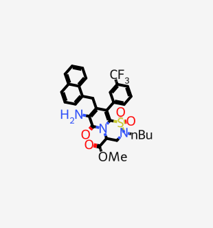 CCCCN1CC(C(=O)OC)n2c(c(-c3cccc(C(F)(F)F)c3)c(Cc3cccc4ccccc34)c(N)c2=O)S1(=O)=O